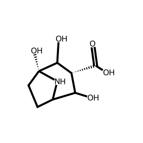 O=C(O)[C@@H]1C(O)C2CC[C@](O)(N2)C1O